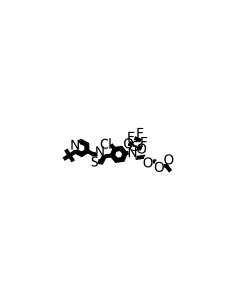 CC(=O)OCOCCN(c1ccc(-c2csc(-c3ccnc(C(C)(C)C)c3)n2)c(Cl)c1)S(=O)(=O)C(F)(F)F